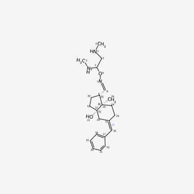 CNCC(NC)ON=C[C@H]1CC[C@]2(O)C/C(=C\c3ccccc3)CC[C@]12C